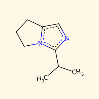 CC(C)c1ncc2n1CCC2